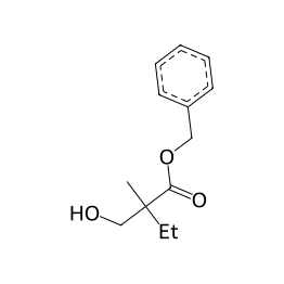 CCC(C)(CO)C(=O)OCc1ccccc1